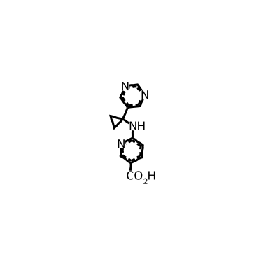 O=C(O)c1ccc(NC2(c3cncnc3)CC2)nc1